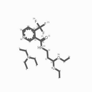 CCN(CC)CC.CCOC(CCNC(=O)c1cnccc1C(F)(F)F)OCC